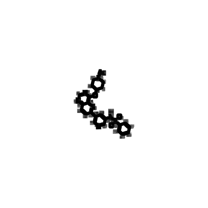 CC(=O)N1CCC(Oc2ncnc3ccc(-c4cncc(NS(=O)(=O)c5ccccc5)c4)nc23)CC1